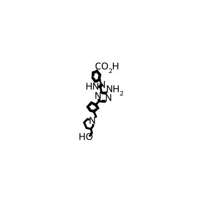 Nc1ncc(-c2cccc(CN3CCCC(CO)C3)c2)nc1-c1nc2cc(C(=O)O)ccc2[nH]1